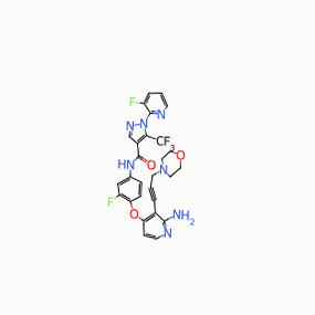 Nc1nccc(Oc2ccc(NC(=O)c3cnn(-c4ncccc4F)c3C(F)(F)F)cc2F)c1C#CCN1CCOCC1